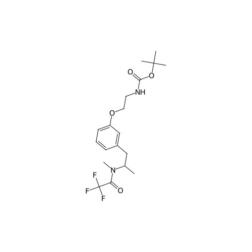 CC(Cc1cccc(OCCNC(=O)OC(C)(C)C)c1)N(C)C(=O)C(F)(F)F